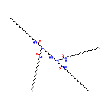 CCCCCCCCCCCCCCCCNC(=O)CCN(CCCCCNCCN(CCC(=O)NCCCCCCCCCCCCCCCC)CCC(=O)NCCCCCCCCCCCCCCCC)CCC(=O)NCCCCCCCCCCCCCCCC